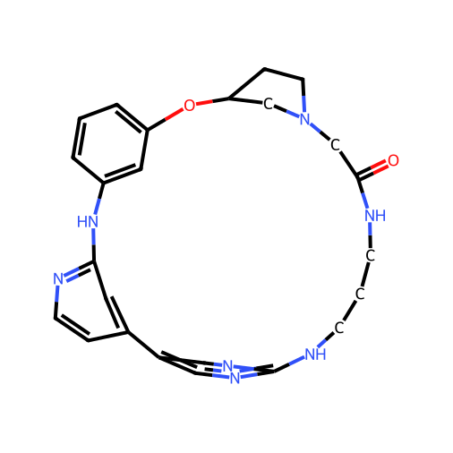 O=C1CN2CCC(C2)Oc2cccc(c2)Nc2cc(ccn2)-c2cnc(nc2)NCCCN1